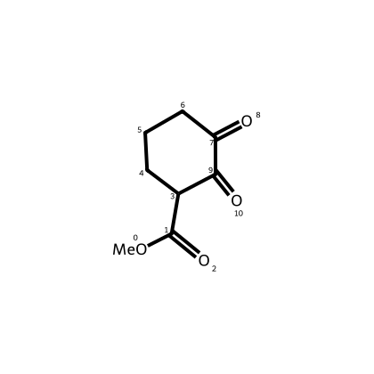 COC(=O)C1CCCC(=O)C1=O